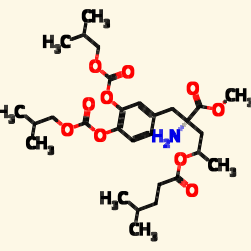 COC(=O)[C@](N)(Cc1ccc(OC(=O)OCC(C)C)c(OC(=O)OCC(C)C)c1)CC(C)OC(=O)CCC(C)C